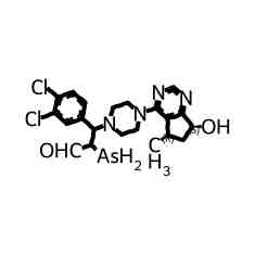 C[C@@H]1C[C@H](O)c2ncnc(N3CCN(C(c4ccc(Cl)c(Cl)c4)C([AsH2])C=O)CC3)c21